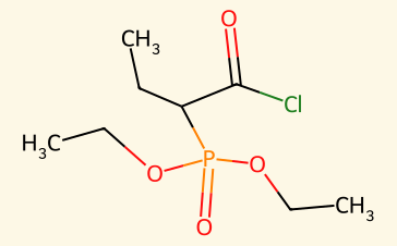 CCOP(=O)(OCC)C(CC)C(=O)Cl